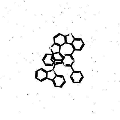 c1ccc(-c2nc(-c3ccccc3)nc(-c3cccc4oc5ccc6oc7cc(-n8c9ccccc9c9ccccc98)ccc7c6c5c34)n2)cc1